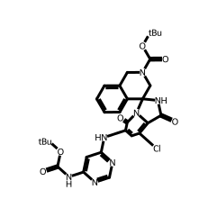 CC(C)(C)OC(=O)Nc1cc(Nc2cc(Cl)c3n(c2=O)C2(CN(C(=O)OC(C)(C)C)Cc4ccccc42)NC3=O)ncn1